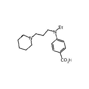 CCN(CCCN1CCCCC1)c1ccc(C(=O)O)cc1